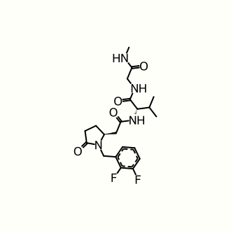 CNC(=O)CNC(=O)[C@@H](NC(=O)C[C@@H]1CCC(=O)N1Cc1cccc(F)c1F)C(C)C